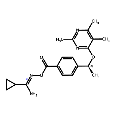 Cc1nc(C)c(C)c(O[C@@H](C)c2ccc(C(=O)O/N=C(\N)C3CC3)cc2)n1